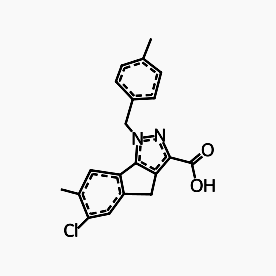 Cc1ccc(Cn2nc(C(=O)O)c3c2-c2cc(C)c(Cl)cc2C3)cc1